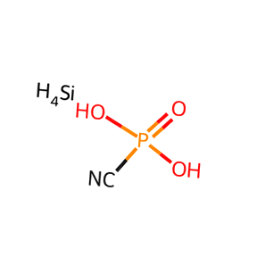 N#CP(=O)(O)O.[SiH4]